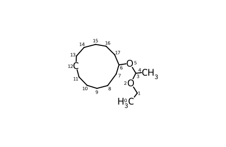 CCOC(C)OC1CCCCCCCCCCC1